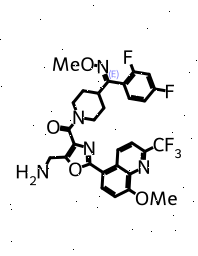 CO/N=C(/c1ccc(F)cc1F)C1CCN(C(=O)c2nc(-c3ccc(OC)c4nc(C(F)(F)F)ccc34)oc2CN)CC1